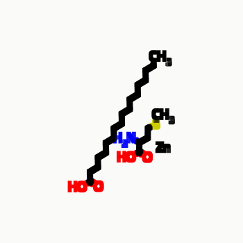 CCCCCCCCCCCCCCCCCC(=O)O.CSCCC(N)C(=O)O.[Zn]